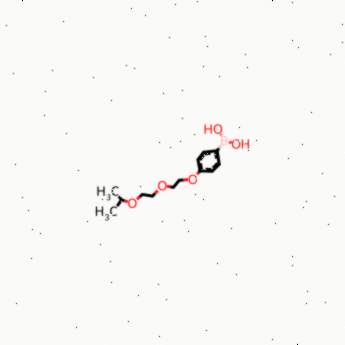 CC(C)OCCOCCOc1ccc(B(O)O)cc1